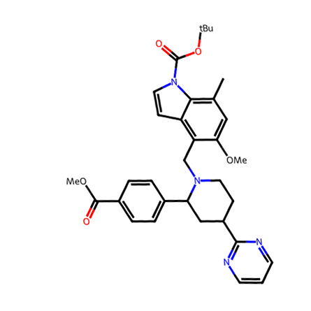 COC(=O)c1ccc(C2CC(c3ncccn3)CCN2Cc2c(OC)cc(C)c3c2ccn3C(=O)OC(C)(C)C)cc1